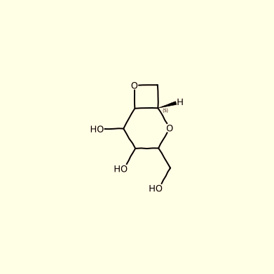 OCC1O[C@H]2COC2C(O)C1O